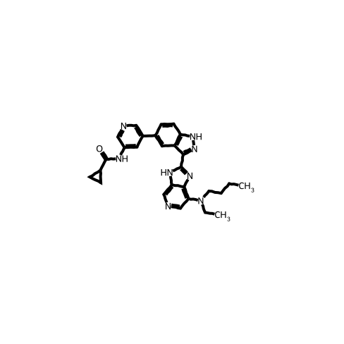 CCCCN(CC)c1cncc2[nH]c(-c3n[nH]c4ccc(-c5cncc(NC(=O)C6CC6)c5)cc34)nc12